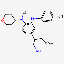 CCN(c1ccc(C(CN)COC)cc1Nc1ccc(C#N)cc1)C1CCOCC1